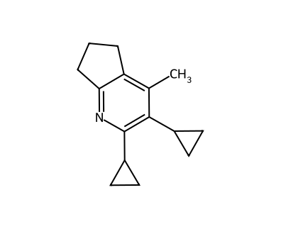 Cc1c2c(nc(C3CC3)c1C1CC1)CCC2